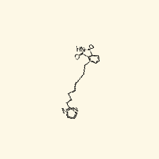 O=C1NC(=O)c2c(CCCCCCCc3ncccn3)cccc21